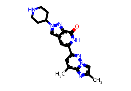 Cc1cn2nc(-c3cc4cn(C5CCNCC5)nc4c(=O)[nH]3)cc(C)c2n1